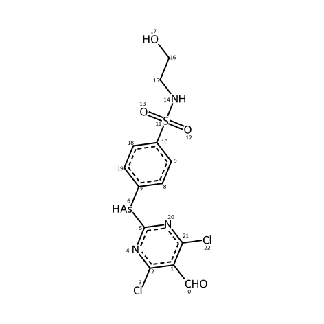 O=Cc1c(Cl)nc([AsH]c2ccc(S(=O)(=O)NCCO)cc2)nc1Cl